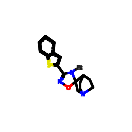 CCN1C(c2cc3ccccc3s2)=NOC12CN1CCC2CC1